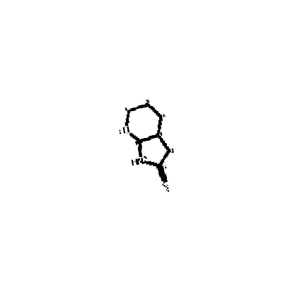 O=C1CC2CCCOC2N1